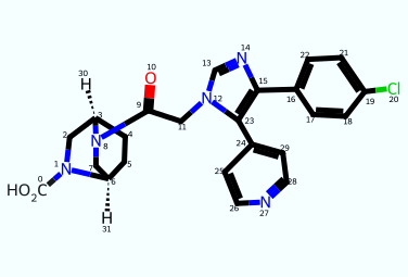 O=C(O)N1C[C@H]2CC[C@@H]1CN2C(=O)Cn1cnc(-c2ccc(Cl)cc2)c1-c1ccncc1